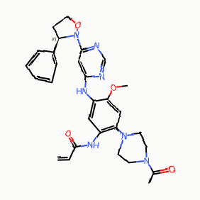 C=CC(=O)Nc1cc(Nc2cc(N3OCC[C@@H]3c3ccccc3)ncn2)c(OC)cc1N1CCN(C(C)=O)CC1